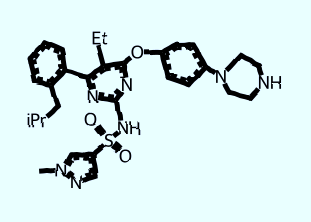 CCc1c(Oc2ccc(N3CCNCC3)cc2)nc(NS(=O)(=O)c2cnn(C)c2)nc1-c1ccccc1CC(C)C